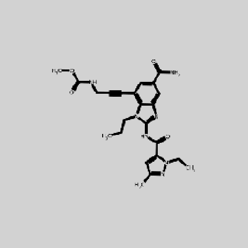 CCCn1c(NC(=O)c2cc(C)nn2CC)nc2cc(C(N)=O)cc(C#CCNC(=O)OC)c21